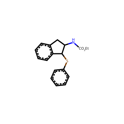 CCOC(=O)NC1Cc2ccccc2C1Sc1ccccc1